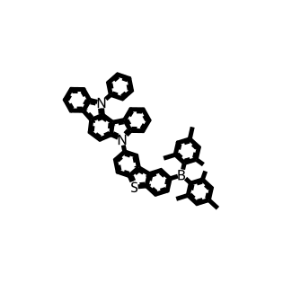 Cc1cc(C)c(B(c2ccc3sc4ccc(-n5c6ccccc6c6c5ccc5c7ccccc7n(-c7ccccc7)c56)cc4c3c2)c2c(C)cc(C)cc2C)c(C)c1